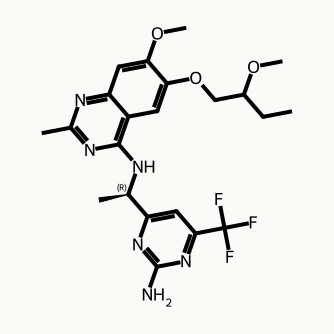 CCC(COc1cc2c(N[C@H](C)c3cc(C(F)(F)F)nc(N)n3)nc(C)nc2cc1OC)OC